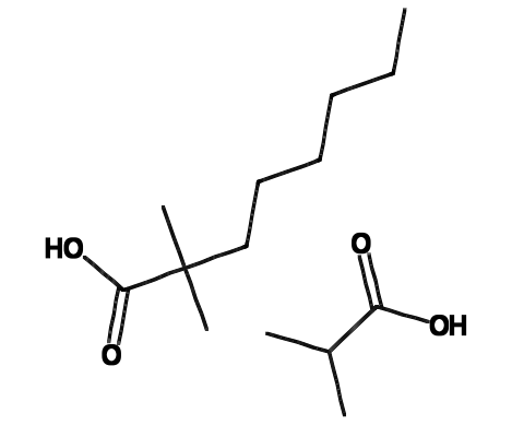 CC(C)C(=O)O.CCCCCCC(C)(C)C(=O)O